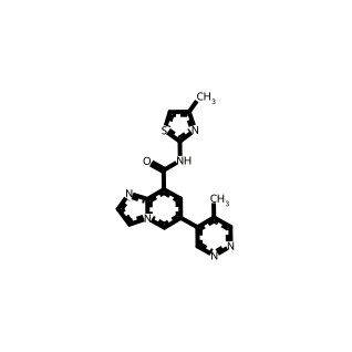 Cc1csc(NC(=O)c2cc(-c3cnncc3C)cn3ccnc23)n1